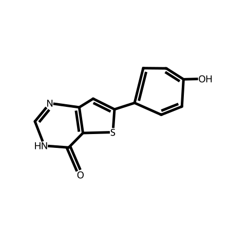 O=c1[nH]cnc2cc(-c3ccc(O)cc3)sc12